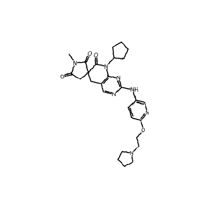 CN1C(=O)CC2(Cc3cnc(Nc4ccc(OCCN5CCCC5)nc4)nc3N(C3CCCC3)C2=O)C1=O